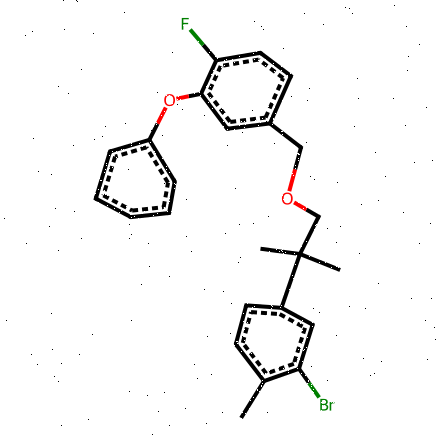 Cc1ccc(C(C)(C)COCc2ccc(F)c(Oc3ccccc3)c2)cc1Br